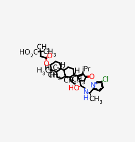 CC(C)C1=C2[C@H]3CC[C@@H]4[C@@]5(C)CC[C@@H](OC(=O)CC(C)(C)C(=O)O)C(C)(C)[C@@H]5CC[C@@]4(C)[C@]3(C)CC[C@@]2([C@@H](O)CN[C@H](C)c2ccc(Cl)cn2)CC1=O